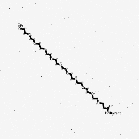 CCCCCNC(=O)CCOCCOCCOCCOCCOCCOCCOCCOCCOCCOCCOCCC